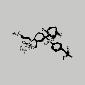 C=CCN(C1CCC(c2cc(F)ccc2F)(S(=O)(=O)c2ccc(C(F)(F)F)cc2)CC1CO)S(C)(=O)=O